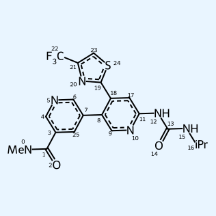 CNC(=O)c1cncc(-c2cnc(NC(=O)NC(C)C)cc2-c2nc(C(F)(F)F)cs2)c1